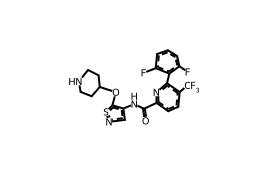 O=C(Nc1cnsc1OC1CCNCC1)c1ccc(C(F)(F)F)c(-c2c(F)cccc2F)n1